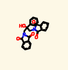 O=C1c2ccccc2C(=O)N1CC(O)(CN1C(=O)c2ccccc2C1=O)c1ccccc1